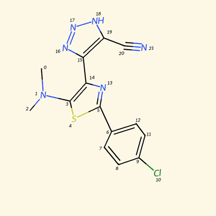 CN(C)c1sc(-c2ccc(Cl)cc2)nc1-c1nn[nH]c1C#N